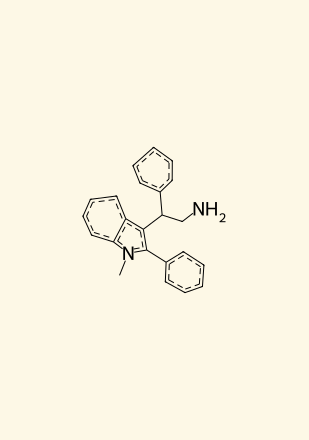 Cn1c(-c2ccccc2)c(C(CN)c2ccccc2)c2ccccc21